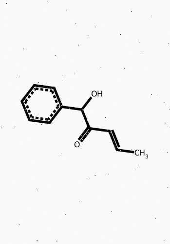 CC=CC(=O)C(O)c1[c]cccc1